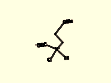 CC[N+](Cl)(CCOC)C(=O)[O-]